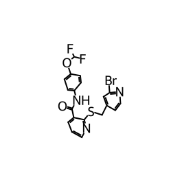 O=C(Nc1ccc(OC(F)F)cc1)c1cccnc1SCc1ccnc(Br)c1